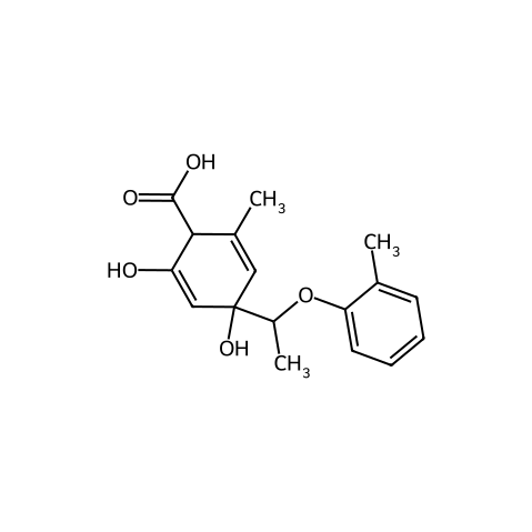 CC1=CC(O)(C(C)Oc2ccccc2C)C=C(O)C1C(=O)O